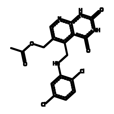 CC(=O)OCc1cnc2[nH]c(=O)[nH]c(=O)c2c1CNc1cc(Cl)ccc1Cl